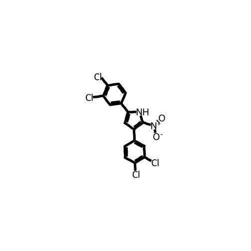 O=[N+]([O-])c1[nH]c(-c2ccc(Cl)c(Cl)c2)cc1-c1ccc(Cl)c(Cl)c1